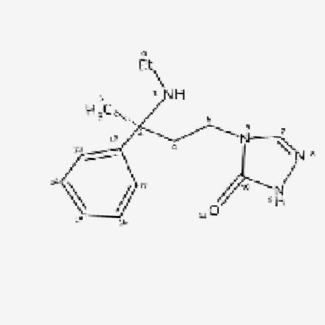 CCN[C@@](C)(CCn1cn[nH]c1=O)c1ccccc1